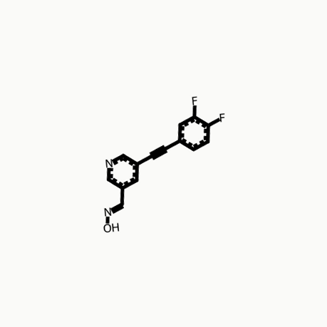 ON=Cc1cncc(C#Cc2ccc(F)c(F)c2)c1